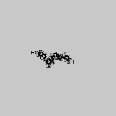 CO[C@@H]1C[C@@H](C[C@H]2CC[C@H](C)[C@H]([C@@H](C)C(=O)O)O2)O[C@]2(O[C@](C)([C@H]3CC[C@@](C)([C@@H]4O[C@@H]([C@H]5O[C@H](O)[C@H](C)C[C@@H]5C)C[C@@H]4C)O3)C[C@H]2C)[C@@H]1C